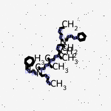 C=C/C=C\C=C\N(C/C=C\C=C1\C=CC=CC1)C(=C)/C=C\C(=C)/C(=C/C=C(C)/C(=C/C=C(\C)N(/C=C/C=C\C1=CC=CCC=C1)C/C=C\C=C/C)CC)CC